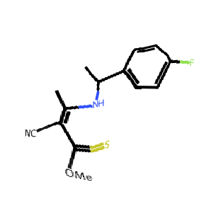 COC(=S)C(C#N)=C(C)NC(C)c1ccc(F)cc1